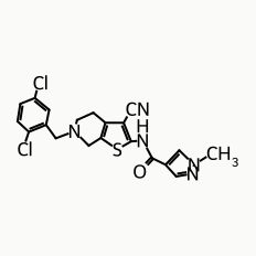 Cn1cc(C(=O)Nc2sc3c(c2C#N)CCN(Cc2cc(Cl)ccc2Cl)C3)cn1